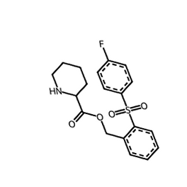 O=C(OCc1ccccc1S(=O)(=O)c1ccc(F)cc1)C1CCCCN1